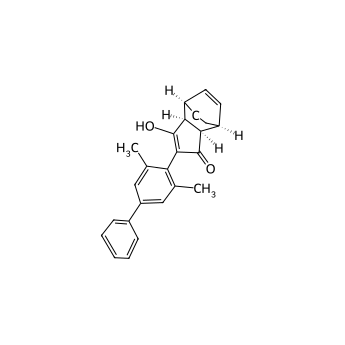 Cc1cc(-c2ccccc2)cc(C)c1C1=C(O)[C@@H]2[C@H](C1=O)[C@@H]1C=C[C@H]2CC1